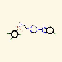 CN(CCN1CCN(c2nc3cc(F)ccc3[nH]2)CC1)S(=O)(=O)c1cc(Cl)c(Cl)cc1Cl